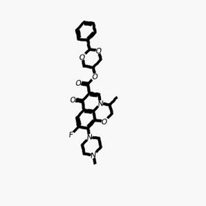 CC1COc2c(N3CCN(C)CC3)c(F)cc3c(=O)c(C(=O)OC4COC(c5ccccc5)OC4)cn1c23